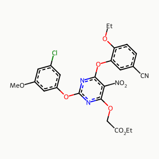 CCOC(=O)COc1nc(Oc2cc(Cl)cc(OC)c2)nc(Oc2cc(C#N)ccc2OCC)c1[N+](=O)[O-]